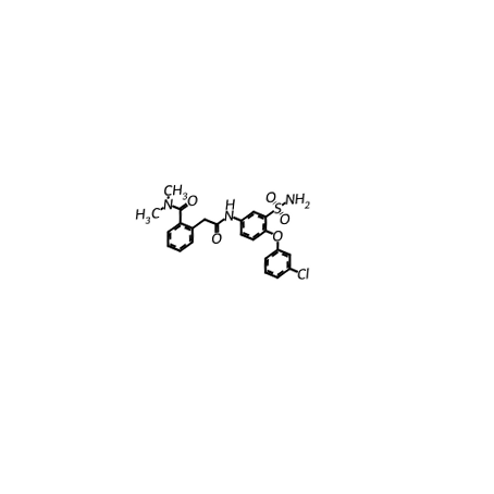 CN(C)C(=O)c1ccccc1CC(=O)Nc1ccc(Oc2cccc(Cl)c2)c(S(N)(=O)=O)c1